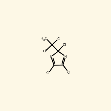 CC(Cl)(Cl)C1(Cl)N=C(Cl)C(Cl)=N1